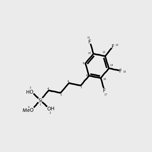 CO[Si](O)(O)CCCCc1cc(F)c(F)c(F)c1F